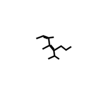 C/C=C(C)\C(C)=C(/CCC)C(C)C